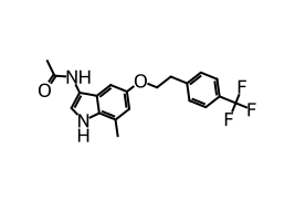 CC(=O)Nc1c[nH]c2c(C)cc(OCCc3ccc(C(F)(F)F)cc3)cc12